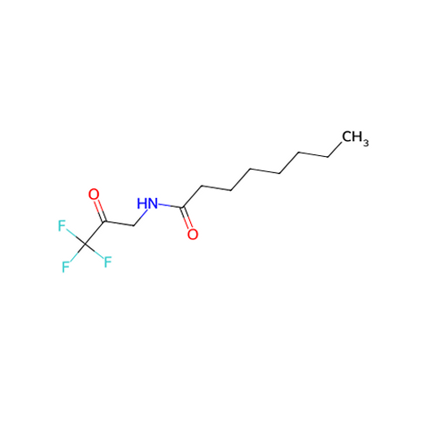 CCCCCCCC(=O)NCC(=O)C(F)(F)F